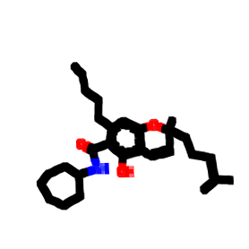 CCCCCc1cc2c(c(O)c1C(=O)NC1CCCCCC1)C=CC(C)(CCC=C(C)C)O2